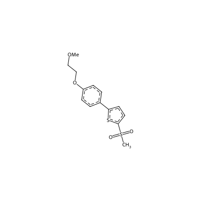 COCCOc1ccc(-c2ccc(S(C)(=O)=O)s2)cc1